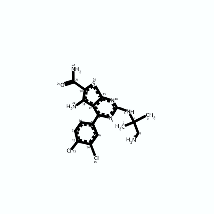 CC(C)(CN)Nc1nc(-c2ccc(Cl)c(Cl)c2)c2c(N)c(C(N)=O)sc2n1